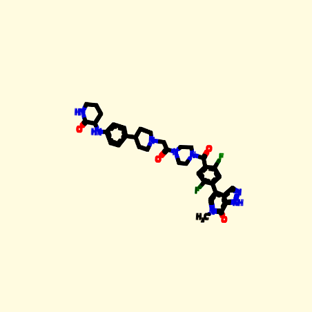 Cn1cc(-c2cc(F)c(C(=O)N3CCN(C(=O)CN4CCC(c5ccc(NC6CCCNC6=O)cc5)CC4)CC3)cc2F)c2cn[nH]c2c1=O